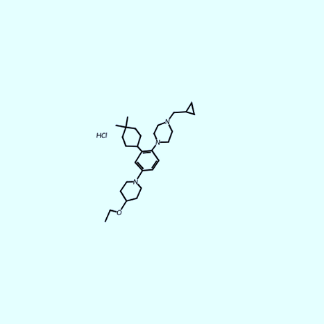 CCOC1CCN(c2ccc(N3CCN(CC4CC4)CC3)c(C3CCC(C)(C)CC3)c2)CC1.Cl